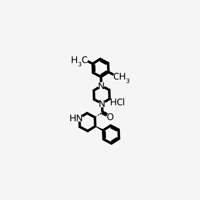 Cc1ccc(C)c(N2CCN(C(=O)[C@H]3CNCC[C@@H]3c3ccccc3)CC2)c1.Cl